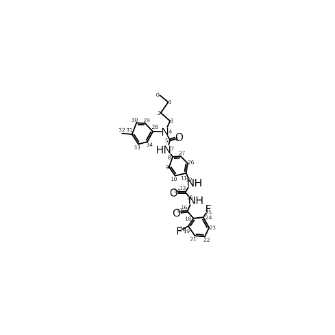 CCCCN(C(=O)Nc1ccc(NC(=O)NC(=O)c2c(F)cccc2F)cc1)c1ccc(C)cc1